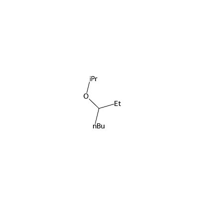 [CH2]CCCC(C[CH2])OC(C)C